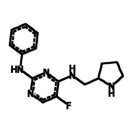 Fc1cnc(Nc2ccccc2)nc1NCC1CCCN1